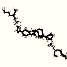 CCCCC(CC)COC(=S)Sc1ccc(-c2ccc3c(c2)sc2c4ccc(-c5ccc(SC(=S)OCC(CC)CCCC)s5)cc4sc32)s1